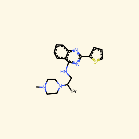 CC(C)C(CNc1nc(-c2cccs2)nc2ccccc12)N1CCN(C)CC1